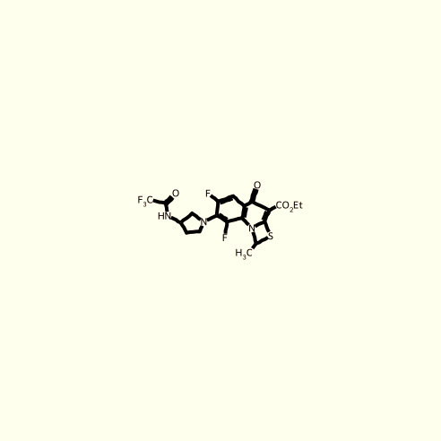 CCOC(=O)c1c2n(c3c(F)c(N4CCC(NC(=O)C(F)(F)F)C4)c(F)cc3c1=O)C(C)S2